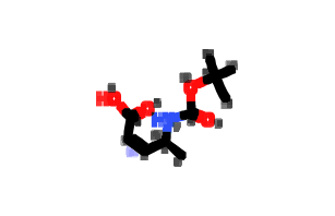 C[C@@H](/C=C\C(=O)O)NC(=O)OC(C)(C)C